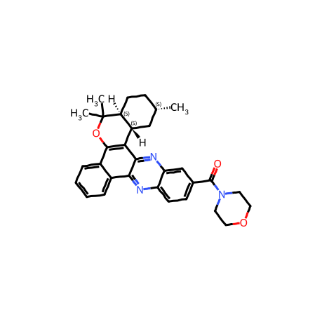 C[C@H]1CC[C@H]2[C@H](C1)c1c(c3ccccc3c3nc4ccc(C(=O)N5CCOCC5)cc4nc13)OC2(C)C